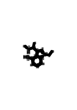 CCn1cc(C(C)NC)c2c(O)cccc21